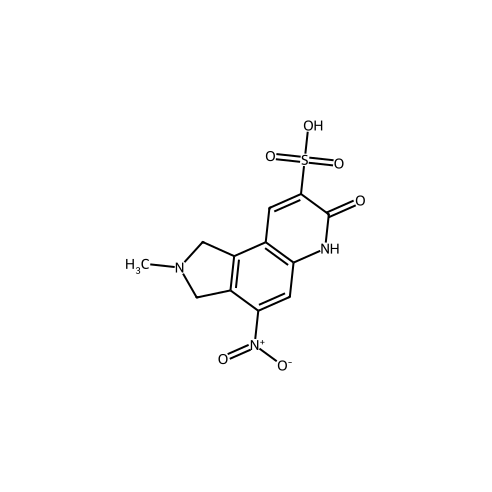 CN1Cc2c([N+](=O)[O-])cc3[nH]c(=O)c(S(=O)(=O)O)cc3c2C1